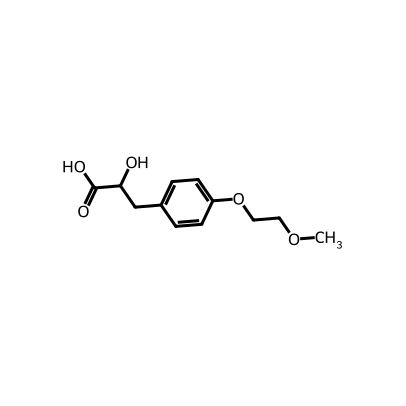 COCCOc1ccc(CC(O)C(=O)O)cc1